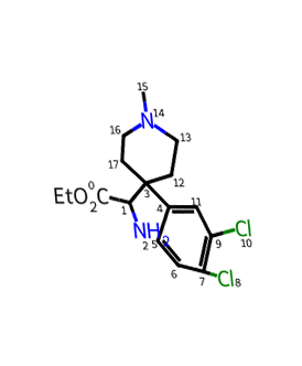 CCOC(=O)C(N)C1(c2ccc(Cl)c(Cl)c2)CCN(C)CC1